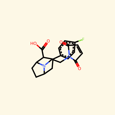 O=C(O)C1C(c2ccc(F)cc2)CC2CCC1N2CCN1C(=O)C=CC1=O